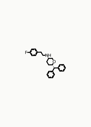 Fc1ccc(CCN[C@H]2CC[C@@H](C(c3ccccc3)c3ccccc3)OC2)cc1